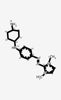 Cn1cc[n+](C)c1/N=N/c1ccc(NC2CCC(N)CC2)cc1